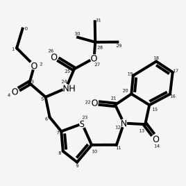 CCOC(=O)C(Cc1ccc(CN2C(=O)c3ccccc3C2=O)s1)NC(=O)OC(C)(C)C